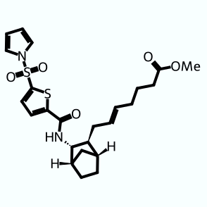 COC(=O)CCCC=CC[C@H]1[C@@H]2CC[C@@H](C2)[C@@H]1NC(=O)c1ccc(S(=O)(=O)n2cccc2)s1